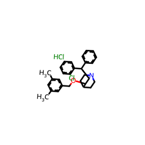 Cc1cc(C)cc(COC2C3CCN(CC3)C2C(c2ccccc2)c2ccccc2Cl)c1.Cl